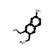 CCc1cc2ccc(C)cc2cc1CO